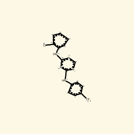 FC(F)(F)c1ccc(Nc2ncnc(Nc3ccccc3Cl)n2)cc1